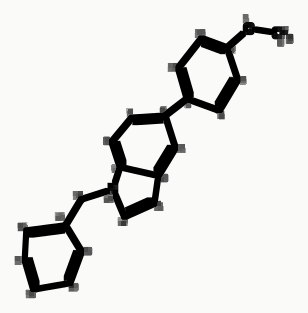 FC(F)(F)Oc1ccc(-c2ccc3c([c]cn3Cc3ccccc3)c2)cc1